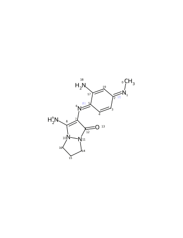 C/N=C1C=C/C(=N\c2c(N)n3n(c2=O)CCC3)C(N)=C/1